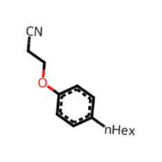 CCCCCCc1ccc(OCCC#N)cc1